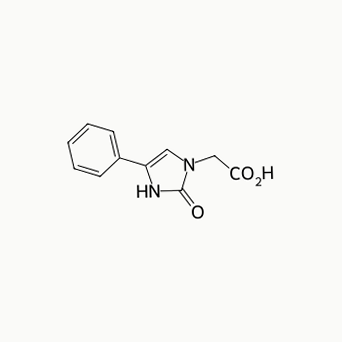 O=C(O)Cn1cc(-c2ccccc2)[nH]c1=O